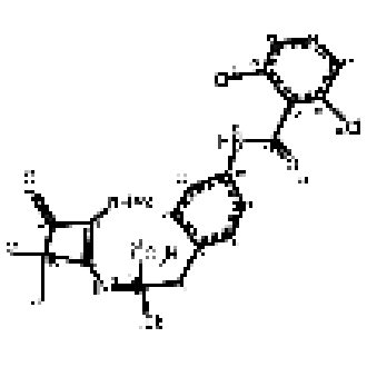 CCCCCCC1=C(N[C@@](CC)(Cc2ccc(NC(=O)c3c(Cl)cncc3Cl)cc2)C(=O)O)C(C)(C)C1=O